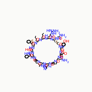 CCCC[C@H]1C(=O)N(C)[C@@H](CCCC)C(=O)N[C@@H](CCCNC(=N)N)C(=O)N[C@H](C(=O)NCC(N)=O)CSCC(=O)NC(Cc2ccc(O)cc2)C(=O)N2OC(=O)C[C@H]2C(=O)N[C@@H](CC(N)=O)C(=O)N2CCC[C@H]2C(=O)N[C@@H](Cc2cnc[nH]2)C(=O)N[C@@H](CC(C)C)C(=O)N2CCC[C@H]2C(=O)N[C@@H](Cc2c[nH]c3ccccc23)C(=O)N[C@@H](CO)C(=O)N[C@@H](Cc2csc3ccccc23)C(=O)N1C